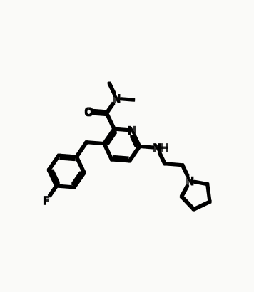 CN(C)C(=O)c1nc(NCCN2CCCC2)ccc1Cc1ccc(F)cc1